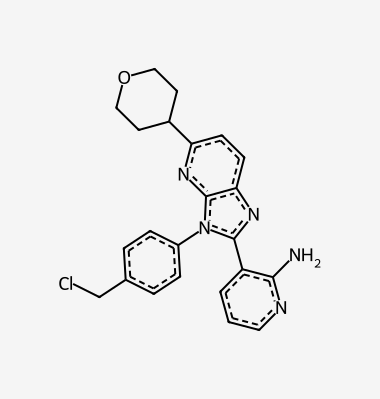 Nc1ncccc1-c1nc2ccc(C3CCOCC3)nc2n1-c1ccc(CCl)cc1